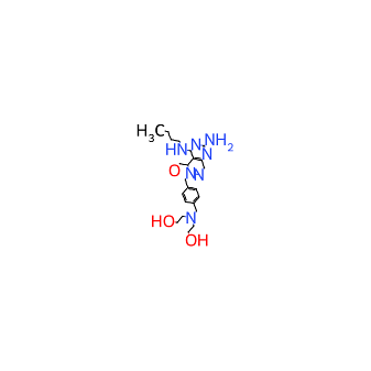 CCCCNc1nc(N)nc2c1C(C=O)N(Cc1ccc(CN(CCO)CCO)cc1)N=C2